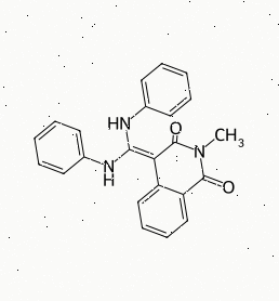 CN1C(=O)C(=C(Nc2ccccc2)Nc2ccccc2)c2ccccc2C1=O